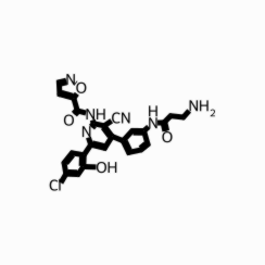 N#Cc1c(-c2cccc(NC(=O)CCN)c2)cc(-c2ccc(Cl)cc2O)nc1NC(=O)c1ccno1